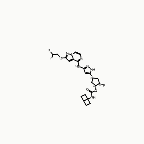 O=C(NC12CCC1CC2)O[C@H]1C[C@@H](c2cc(Nc3nccn4nc(OCC(F)F)cc34)n[nH]2)C[C@H]1F